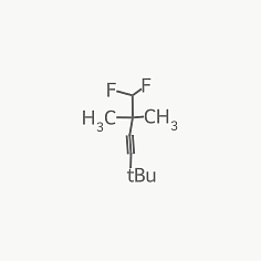 CC(C)(C)C#CC(C)(C)C(F)F